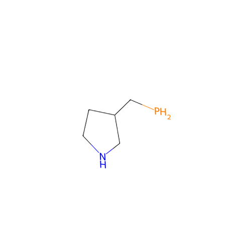 PCC1CCNC1